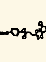 CSc1ccc(OC(=O)CCC(=O)ON2C(=O)CCC2=O)cc1